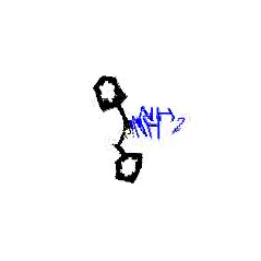 NN[C@@H](Cc1ccccc1)c1ccccc1